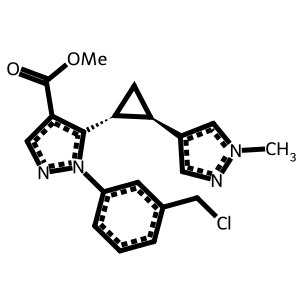 COC(=O)c1cnn(-c2cccc(CCl)c2)c1[C@@H]1C[C@H]1c1cnn(C)c1